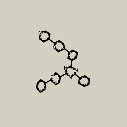 c1ccc(-c2ccc(-c3nc(-c4ccccc4)nc(-c4cccc(-c5ccc(-c6ccncc6)nc5)c4)n3)cc2)cc1